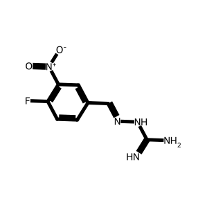 N=C(N)NN=Cc1ccc(F)c([N+](=O)[O-])c1